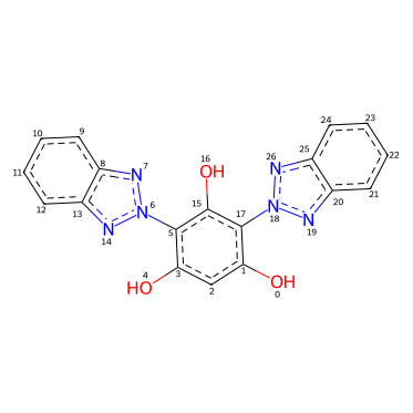 Oc1cc(O)c(-n2nc3ccccc3n2)c(O)c1-n1nc2ccccc2n1